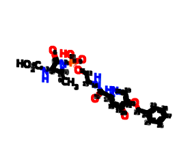 C[C@H]1[C@H](NC(=O)O)C(=O)N1P(=O)(O)OCCNC(=O)c1cc(=O)c(OCc2ccccc2)c[nH]1